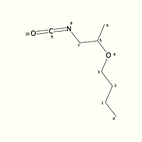 CCCCOC(C)CN=C=O